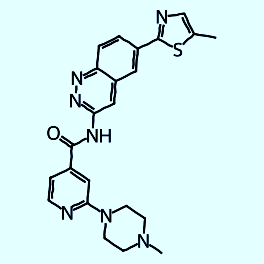 Cc1cnc(-c2ccc3nnc(NC(=O)c4ccnc(N5CCN(C)CC5)c4)cc3c2)s1